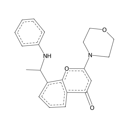 CC(Nc1ccccc1)c1cccc2c(=O)cc(N3CCOCC3)oc12